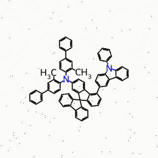 Cc1cc(-c2ccccc2)ccc1N(c1ccc2c(c1)C1(c3ccccc3-c3ccccc31)c1cccc(-c3ccc4c(c3)c3ccccc3n4-c3ccccc3)c1-2)c1ccc(-c2ccccc2)cc1C